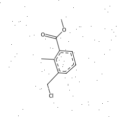 COC(=O)c1cccc(CCl)c1C